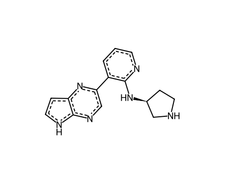 c1cnc(N[C@H]2CCNC2)c(-c2cnc3[nH]ccc3n2)c1